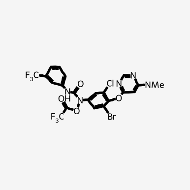 CNc1cc(Oc2c(Cl)cc(N(OC(=O)C(F)(F)F)C(=O)Nc3cccc(C(F)(F)F)c3)cc2Br)ncn1